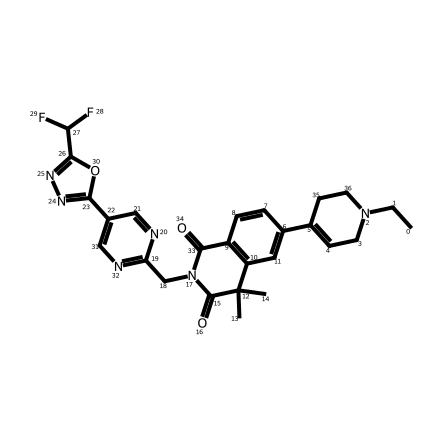 CCN1CC=C(c2ccc3c(c2)C(C)(C)C(=O)N(Cc2ncc(-c4nnc(C(F)F)o4)cn2)C3=O)CC1